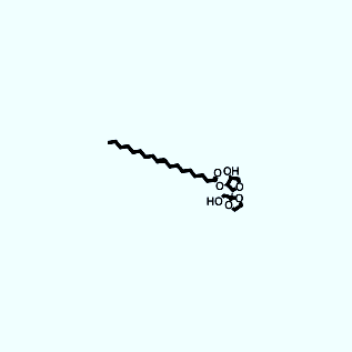 CCCCCCCC/C=C/CCCCCCCC(=O)O[C@@H]1[C@@H](O)CO[C@@H]1C1(CO)OCCO1